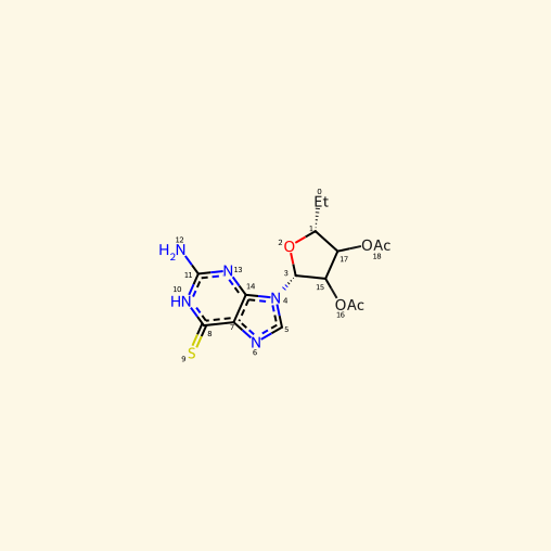 CC[C@H]1O[C@@H](n2cnc3c(=S)[nH]c(N)nc32)C(OC(C)=O)C1OC(C)=O